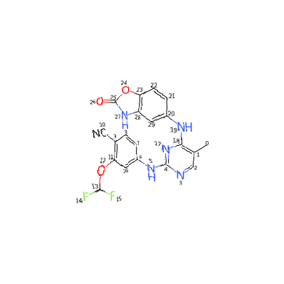 Cc1cnc(Nc2ccc(C#N)c(OC(F)F)c2)nc1Nc1ccc2oc(=O)[nH]c2c1